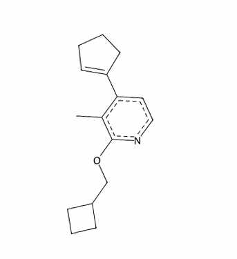 Cc1c(C2=CCCC2)ccnc1OCC1CCC1